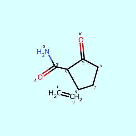 C=C.NC(=O)C1CCCC1=O